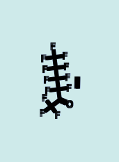 C=C.O=C(C(F)(F)F)C(F)(F)C(F)(F)C(F)(F)C(F)(F)F